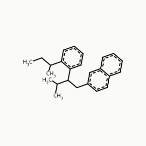 CCC(C)c1ccccc1[C](Cc1ccc2ccccc2c1)C(C)C